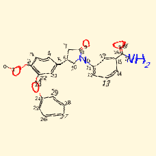 COc1ccc([C@H]2CC(=O)N(c3cccc(C(N)=O)c3)C2)cc1Oc1ccccc1